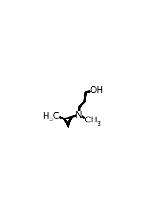 CC1CC1N(C)CCCO